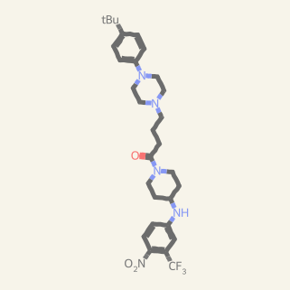 CC(C)(C)c1ccc(N2CCN(CCCC(=O)N3CCC(Nc4ccc([N+](=O)[O-])c(C(F)(F)F)c4)CC3)CC2)cc1